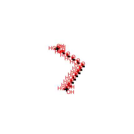 C=CC(=O)O.C=CC(=O)O.C=CC(=O)O.C=CC(=O)O.C=CC(=O)O.C=CC(=O)O.C=CC(=O)O.C=CC(=O)O.C=CC(=O)O.C=CC(=O)O.C=CC(=O)O.OCC(CO)(CO)CO.OCC(CO)(CO)CO